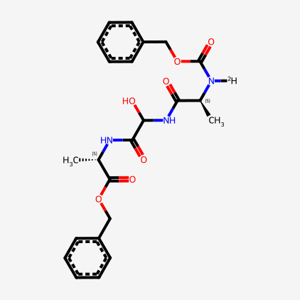 [2H]N(C(=O)OCc1ccccc1)[C@@H](C)C(=O)NC(O)C(=O)N[C@@H](C)C(=O)OCc1ccccc1